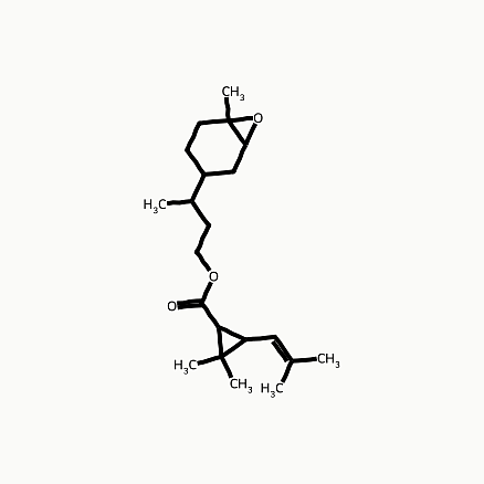 CC(C)=CC1C(C(=O)OCCC(C)C2CCC3(C)OC3C2)C1(C)C